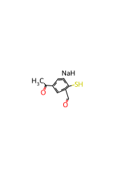 CC(=O)c1ccc(S)c(C=O)c1.[NaH]